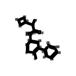 Cc1ccc(NC(=O)C(C)C2CCC2)cc1-c1cccnn1